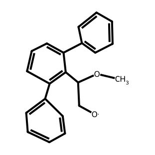 COC(C[O])c1c(-c2ccccc2)cccc1-c1ccccc1